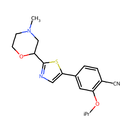 CC(C)Oc1cc(-c2cnc(C3CN(C)CCO3)s2)ccc1C#N